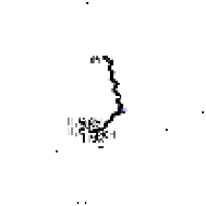 CCC/C=C\CCCCCCC/C=C\CCCCC(O)(C[N+](C)(C)C)P(=O)(O)O